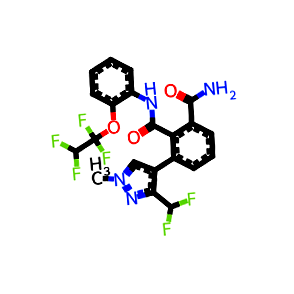 Cn1cc(-c2cccc(C(N)=O)c2C(=O)Nc2ccccc2OC(F)(F)C(F)F)c(C(F)F)n1